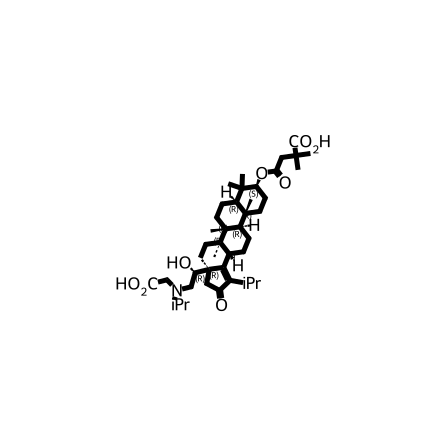 CC(C)C1=C2[C@H]3CC[C@@H]4[C@@]5(C)CC[C@H](OC(=O)CC(C)(C)C(=O)O)C(C)(C)[C@@H]5CC[C@@]4(C)[C@]3(C)CC[C@@]2([C@@H](O)CN(CC(=O)O)C(C)C)CC1=O